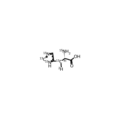 [2H][13CH](c1c[15n][13cH][15nH]1)[C@H]([15NH2])C(=O)O